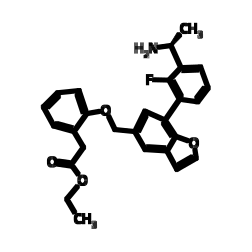 CCOC(=O)Cc1ccccc1OCc1cc(-c2cccc([C@H](C)N)c2F)c2occc2c1